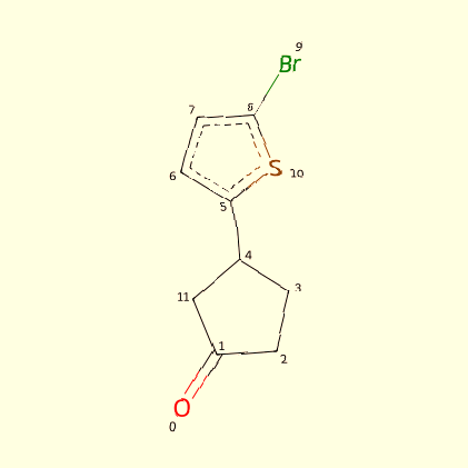 O=C1CCC(c2ccc(Br)s2)C1